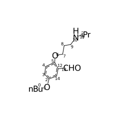 CCCCOc1ccc(OCCCNC(C)C)c(C=O)c1